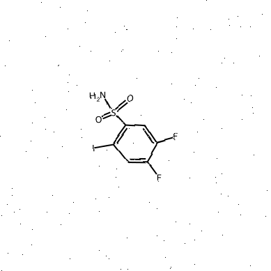 NS(=O)(=O)c1cc(F)c(F)cc1I